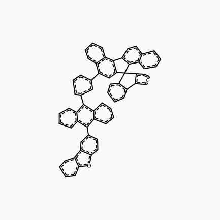 c1cc(-c2cc3c(c4ccccc24)-c2ccc4ccccc4c2C32c3ccccc3-c3ccccc32)cc(-c2c3ccccc3c(-c3ccc4oc5ccccc5c4c3)c3ccccc23)c1